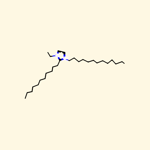 CCCCCCCCCCCCC[n+]1ccn(CC)c1CCCCCCCCCCC